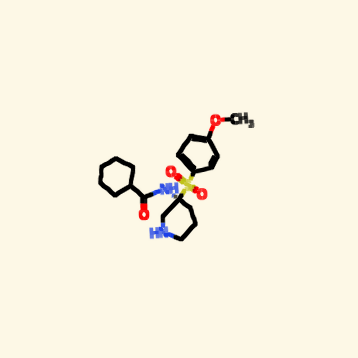 COc1ccc(S(=O)(=O)[C@@]2(NC(=O)C3CCCCC3)CCCNC2)cc1